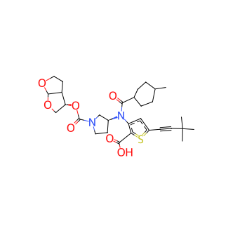 CC1CCC(C(=O)N(c2cc(C#CC(C)(C)C)sc2C(=O)O)[C@H]2CCN(C(=O)O[C@H]3COC4OCCC43)C2)CC1